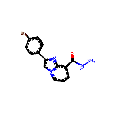 NNC(=O)c1cccn2cc(-c3ccc(Br)cc3)nc12